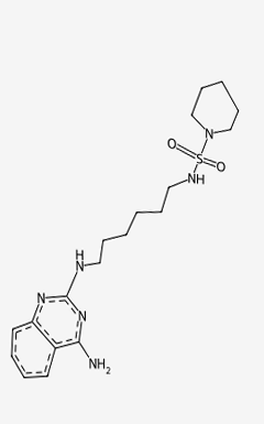 Nc1nc(NCCCCCCNS(=O)(=O)N2CCCCC2)nc2ccccc12